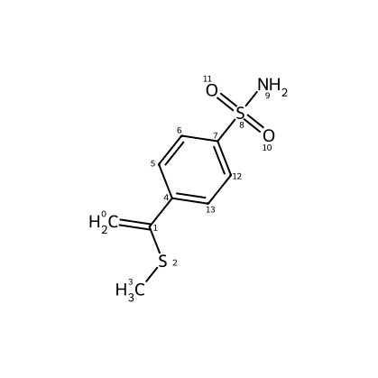 C=C(SC)c1ccc(S(N)(=O)=O)cc1